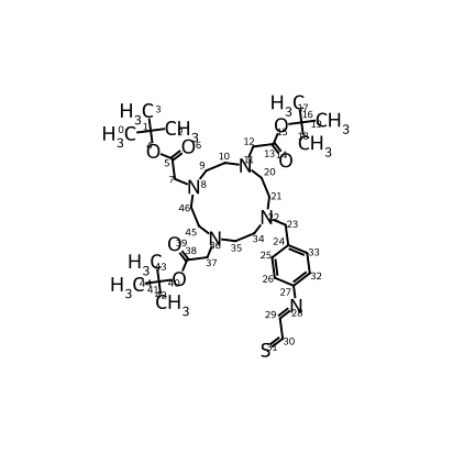 CC(C)(C)OC(=O)CN1CCN(CC(=O)OC(C)(C)C)CCN(Cc2ccc(N=CC=S)cc2)CCN(CC(=O)OC(C)(C)C)CC1